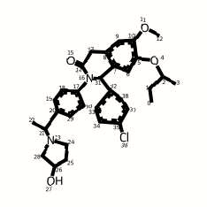 CCC(C)Oc1cc2c(cc1OC)CC(=O)N(c1ccc(C(C)N3CCC(O)C3)cc1)C2c1ccc(Cl)cc1